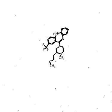 COCC[C@H]1CN(C2=Nc3ccccc3Nc3ccc(C(F)(F)F)cc32)CCN1C